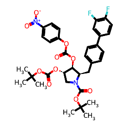 CC(C)(C)OC(=O)O[C@H]1CN(C(=O)OC(C)(C)C)[C@H](Cc2ccc(-c3ccc(F)c(F)c3)cc2)[C@@H]1OC(=O)Oc1ccc([N+](=O)[O-])cc1